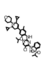 Cc1cc(Nc2ncc(Cl)c(Nc3ccccc3S(=O)(=O)C(C)C)n2)c(OC(C)C)cc1C1=CC(C2CC2)N(C2CCOCC2)[C@@H](C2CC2)C1